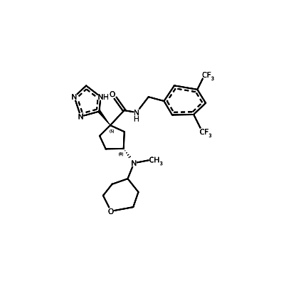 CN(C1CCOCC1)[C@@H]1CC[C@@](C(=O)NCc2cc(C(F)(F)F)cc(C(F)(F)F)c2)(c2nnc[nH]2)C1